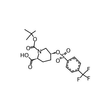 CC(C)(C)OC(=O)N1C[C@@H](OS(=O)(=O)c2ccc(C(F)(F)F)cc2)CC[C@H]1C(=O)O